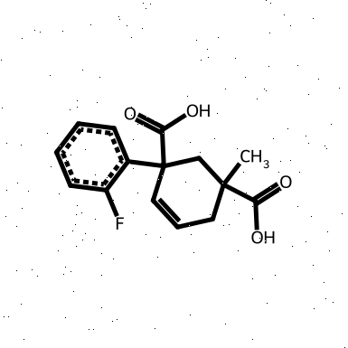 CC1(C(=O)O)CC=CC(C(=O)O)(c2ccccc2F)C1